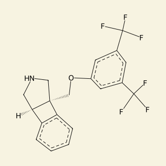 FC(F)(F)c1cc(OC[C@@]23CNC[C@@H]2c2ccccc23)cc(C(F)(F)F)c1